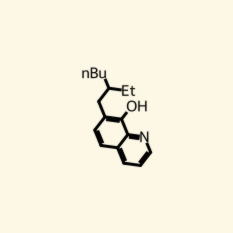 CCCCC(CC)Cc1ccc2cccnc2c1O